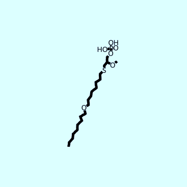 CCCCCCCCCOCCCCCCCCSCC(COP(=O)(O)O)OC